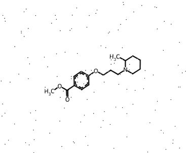 COC(=O)c1ccc(OCCCN2CCCCC2C)cc1